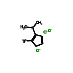 CB(C)C1=[C]([Ti+3])CC=C1.[Cl-].[Cl-].[Cl-]